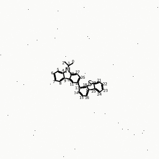 CC(C)n1c2ccccc2c2cc(-c3cccc4c3sc3ccccc34)ccc21